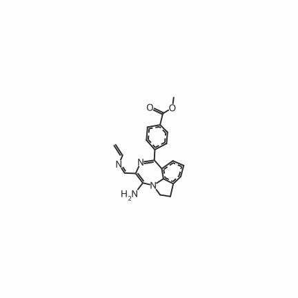 C=C/N=C\C1=C(N)N2CCc3cccc(c32)C(c2ccc(C(=O)OC)cc2)=N1